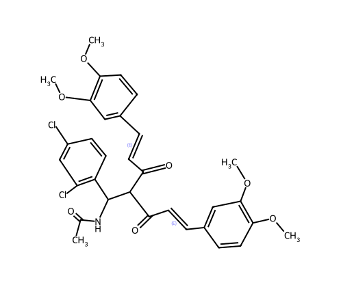 COc1ccc(/C=C/C(=O)C(C(=O)/C=C/c2ccc(OC)c(OC)c2)C(NC(C)=O)c2ccc(Cl)cc2Cl)cc1OC